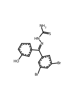 NC(=S)N/N=C(\c1cccc(O)c1)c1cc(Br)cc(Br)c1